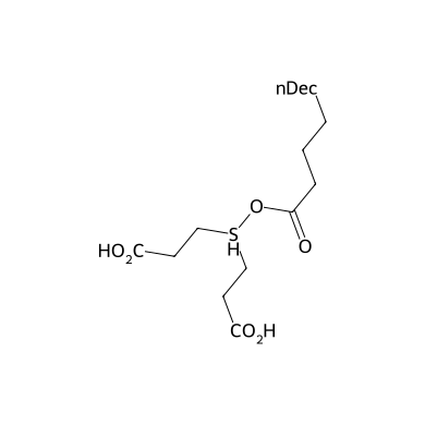 CCCCCCCCCCCCCC(=O)O[SH](CCC(=O)O)CCC(=O)O